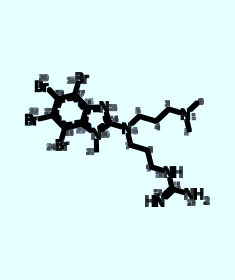 CN(C)CCCN(CCCNC(=N)N)c1nc2c(Br)c(Br)c(Br)c(Br)c2n1C